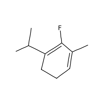 CC1=CCCC(C(C)C)=C1F